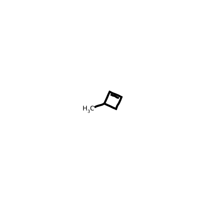 CC1C=CC1